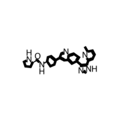 Cc1cccc(-c2[nH]cnc2-c2ccc3ncc(C4=CC[C@H](NC(=O)[C@H]5CCCN5)CC4)cc3c2)n1